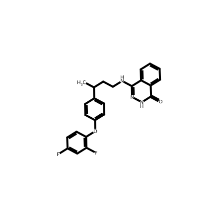 CC(CCNc1n[nH]c(=O)c2ccccc12)c1ccc(Oc2ccc(F)cc2F)cc1